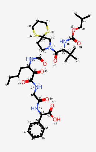 CCCCC(NC(=O)[C@@H]1CC2(CN1C(=O)[C@@H](NC(=O)OCC(C)C)C(C)(C)C)SCCCS2)C(=O)C(=O)NCC(=O)NC(C(=O)O)c1ccccc1